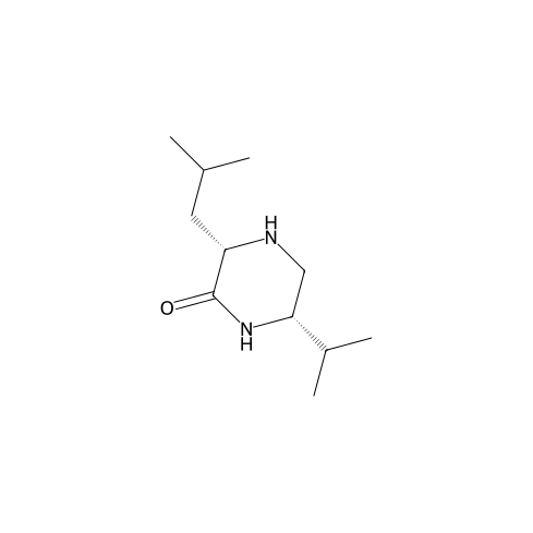 CC(C)C[C@@H]1NC[C@H](C(C)C)NC1=O